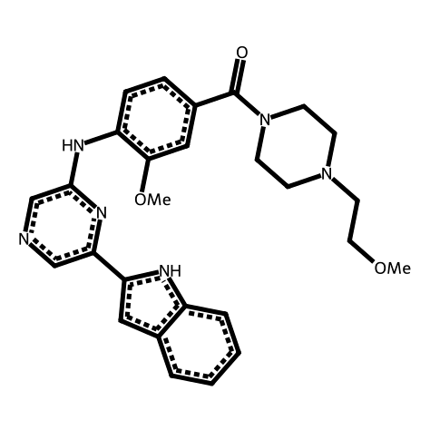 COCCN1CCN(C(=O)c2ccc(Nc3cncc(-c4cc5ccccc5[nH]4)n3)c(OC)c2)CC1